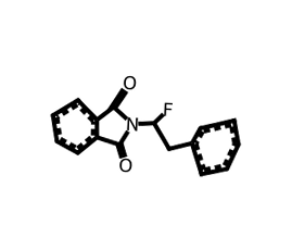 O=C1c2ccccc2C(=O)N1C(F)Cc1ccccc1